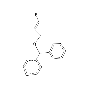 FC=CCOC(c1ccccc1)c1ccccc1